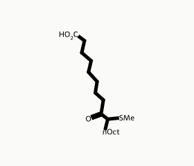 CCCCCCCCC(SC)C(=O)CCCCCCCC(=O)O